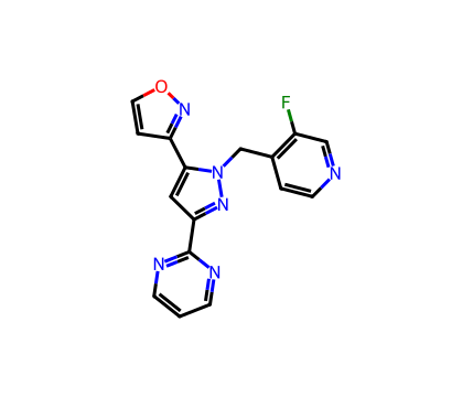 Fc1cnccc1Cn1nc(-c2ncccn2)cc1-c1ccon1